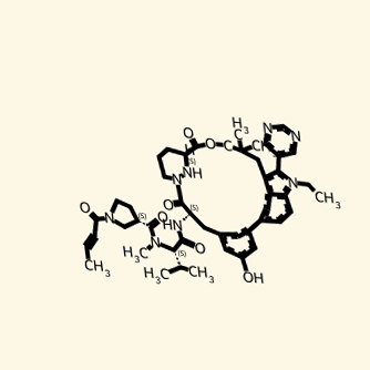 CC#CC(=O)N1CC[C@H](C(=O)N(C)[C@H](C(=O)N[C@H]2Cc3cc(O)cc(c3)-c3ccc4c(c3)c(c(-c3cncnc3)n4CC)CC(C)(C)COC(=O)[C@@H]3CCCN(N3)C2=O)C(C)C)C1